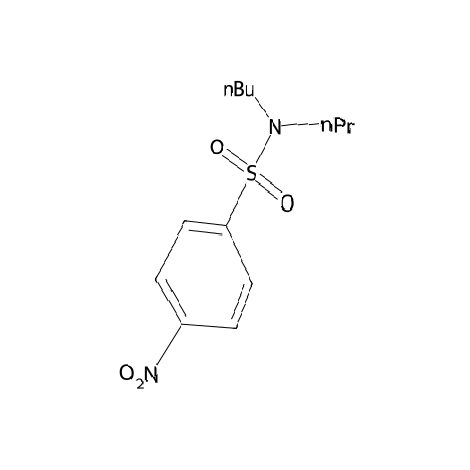 CCCCN(CCC)S(=O)(=O)c1ccc([N+](=O)[O-])cc1